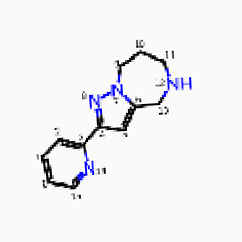 c1ccc(-c2cc3n(n2)CCCNC3)nc1